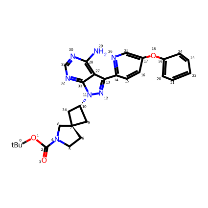 CC(C)(C)OC(=O)N1CC[C@]2(C1)C[C@@H](n1nc(-c3ccc(Oc4ccccc4)cn3)c3c(N)ncnc31)C2